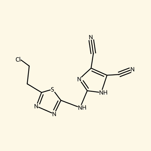 N#Cc1nc(Nc2nnc(CCCl)s2)[nH]c1C#N